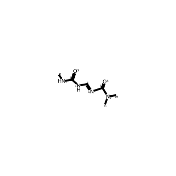 CNC(=O)N/C=N/C(=O)N(C)C